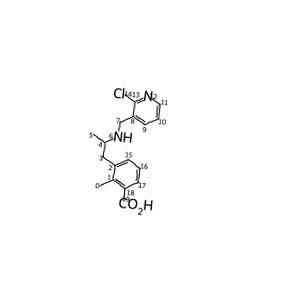 Cc1c(CC(C)NCc2cccnc2Cl)cccc1C(=O)O